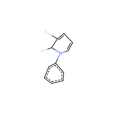 FC1=CC=CN(c2ccccc2)C1F